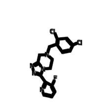 Fc1cccnc1-c1nnc2n1CCN(Cc1ccc(Cl)cc1Cl)C2